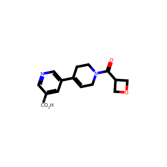 O=C(O)c1cncc(C2=CCN(C(=O)C3COC3)CC2)c1